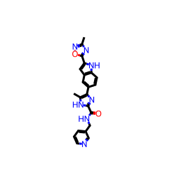 Cc1noc(-c2cc3cc(-c4nc(C(=O)NCc5cccnc5)[nH]c4C)ccc3[nH]2)n1